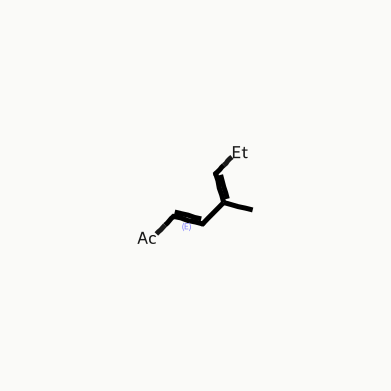 CCC=C(C)/C=C/C(C)=O